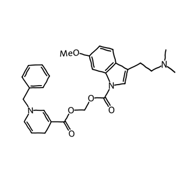 COc1ccc2c(CCN(C)C)cn(C(=O)OCOC(=O)C3=CN(Cc4ccccc4)C=CC3)c2c1